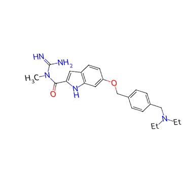 CCN(CC)Cc1ccc(COc2ccc3cc(C(=O)N(C)C(=N)N)[nH]c3c2)cc1